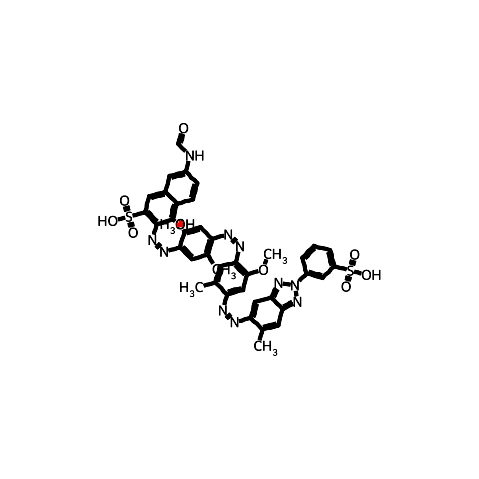 COc1cc(/N=N\c2cc3nn(-c4cccc(S(=O)(=O)O)c4)nc3cc2C)c(C)cc1/N=N\c1cc(C)c(/N=N\c2c(S(=O)(=O)O)cc3cc(NC=O)ccc3c2O)cc1C